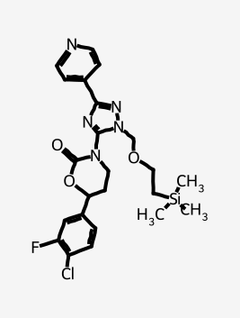 C[Si](C)(C)CCOCn1nc(-c2ccncc2)nc1N1CCC(c2ccc(Cl)c(F)c2)OC1=O